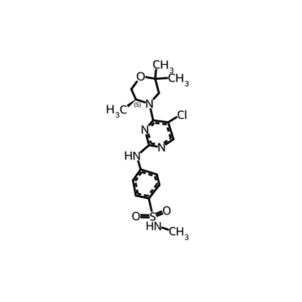 CNS(=O)(=O)c1ccc(Nc2ncc(Cl)c(N3CC(C)(C)OC[C@@H]3C)n2)cc1